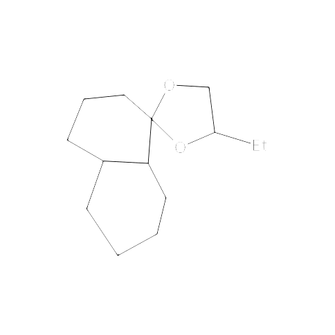 CCC1COC2(CCCC3CCCCC32)O1